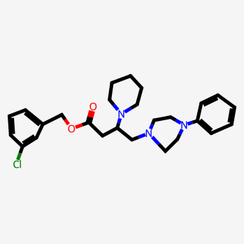 O=C(CC(CN1CCN(c2ccccc2)CC1)N1CCCCC1)OCc1cccc(Cl)c1